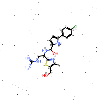 Cc1nc(C(CNC(=N)N)NC(O)c2ccc(-c3ccc(Cl)cc3)[nH]2)sc1CO